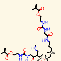 C=C(C)C(=O)OCCNC(=O)NCC(=O)NCCC[Si](C)(C)C[Si](C)(C)O[Si](C)(C)C(CNC)C(=O)CNC(=O)NCCOC(=O)C(=C)C